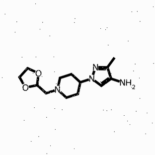 Cc1nn(C2CCN(CC3OCCO3)CC2)cc1N